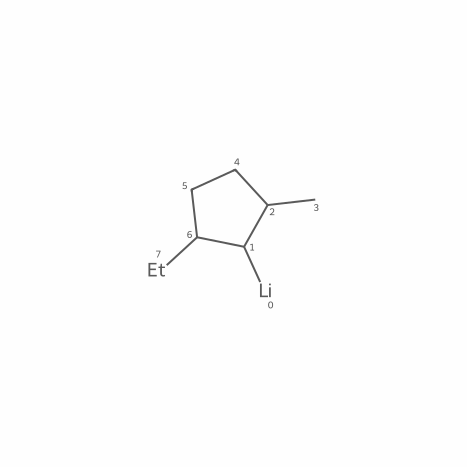 [Li][CH]1C(C)CCC1CC